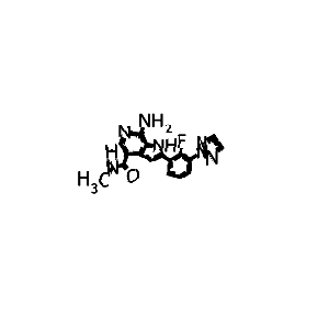 CNC(=O)c1cnc(N)c2[nH]c(-c3cccc(-n4nccn4)c3F)cc12